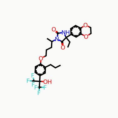 CCCc1cc(C(O)(C(F)(F)F)C(F)(F)F)ccc1OCCCC(C)N1C(=O)NC(CC)(c2ccc3c(c2)OCCO3)C1=O